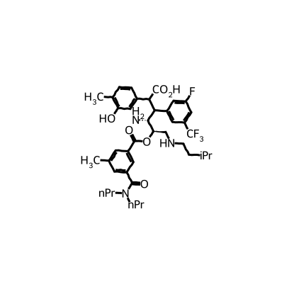 CCCN(CCC)C(=O)c1cc(C)cc(C(=O)O[C@H](CNCCC(C)C)[C@H](N)C(c2cc(F)cc(C(F)(F)F)c2)C(C(=O)O)c2ccc(C)c(O)c2)c1